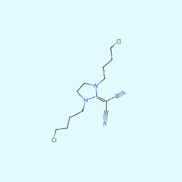 N#CC(C#N)=C1N(CCCCCl)CCN1CCCCCl